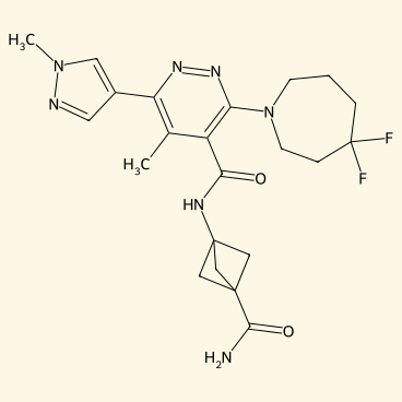 Cc1c(-c2cnn(C)c2)nnc(N2CCCC(F)(F)CC2)c1C(=O)NC12CC(C(N)=O)(C1)C2